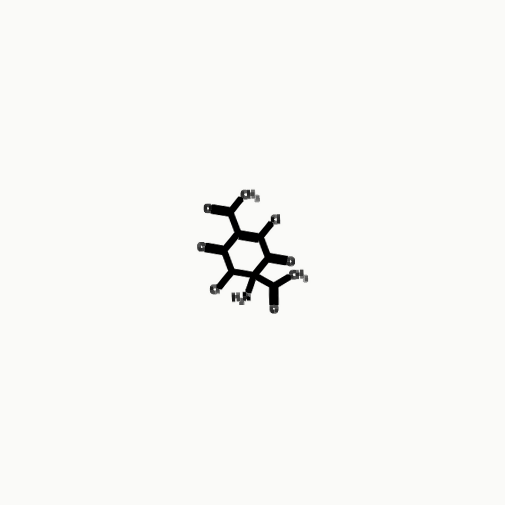 CC(=O)C1=C(Cl)C(=O)C(N)(C(C)=O)C(Cl)C1=O